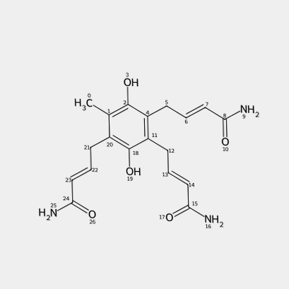 Cc1c(O)c(CC=CC(N)=O)c(CC=CC(N)=O)c(O)c1CC=CC(N)=O